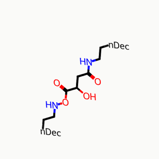 CCCCCCCCCCCCNOC(=O)C(O)CC(=O)NCCCCCCCCCCCC